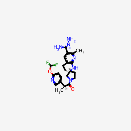 Cc1nc2c(cc1/C(N)=N/N)CC[C@@]1(CCN(C(=O)[C@@H](C)c3ccc(OC(F)F)nc3)C1)N2